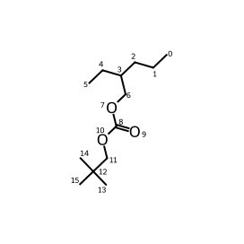 CCCC(CC)COC(=O)OCC(C)(C)C